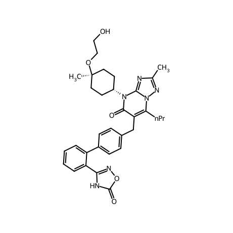 CCCc1c(Cc2ccc(-c3ccccc3-c3noc(=O)[nH]3)cc2)c(=O)n([C@H]2CC[C@](C)(OCCO)CC2)c2nc(C)nn12